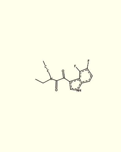 CCCN(CC)C(=O)C(=O)c1c[nH]c2ccc(F)c(F)c12